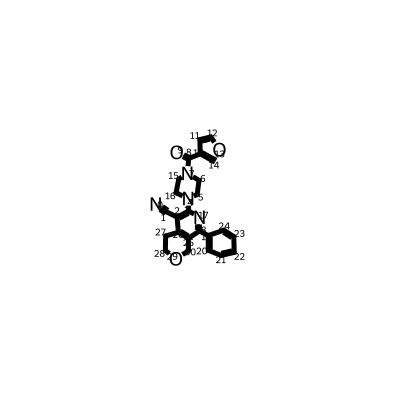 N#Cc1c(N2CCN(C(=O)c3ccoc3)CC2)nc(-c2ccccc2)c2c1CCOC2